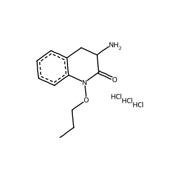 CCCON1C(=O)C(N)Cc2ccccc21.Cl.Cl.Cl